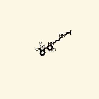 CC(C)=CCNCCCCCNc1cccc(-c2n[nH]c(=O)c3ccccc23)c1.Cl